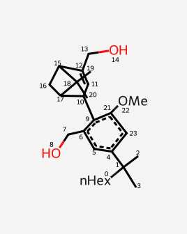 CCCCCCC(C)(C)c1cc(CO)c(C2C=C(CO)C3CC2C3(C)C)c(OC)c1